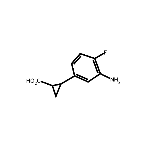 Nc1cc(C2CC2C(=O)O)ccc1F